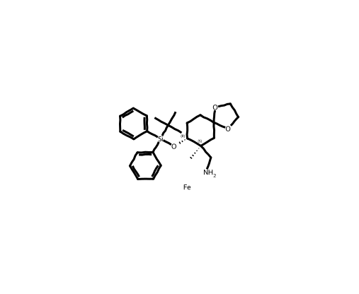 CC(C)(C)[Si](O[C@@H]1CCC2(C[C@@]1(C)CN)OCCO2)(c1ccccc1)c1ccccc1.[Fe]